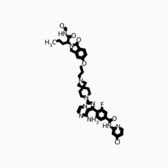 CCCC(C(=O)NC=O)N1Cc2cc(OCCCN3CC4(CCN(c5nc(-c6ccc(C(=O)Nc7cc(Cl)ccn7)cc6F)c6c(N)nccn56)CC4)C3)ccc2C1=O